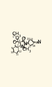 CCOC(=O)c1c(-c2ccccc2)n(C)n(-c2ccc(C#N)cc2)c1=O